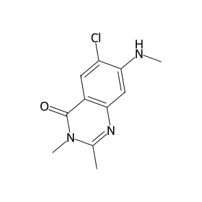 CNc1cc2nc(C)n(C)c(=O)c2cc1Cl